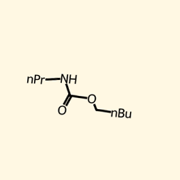 CCCCCOC(=O)NCCC